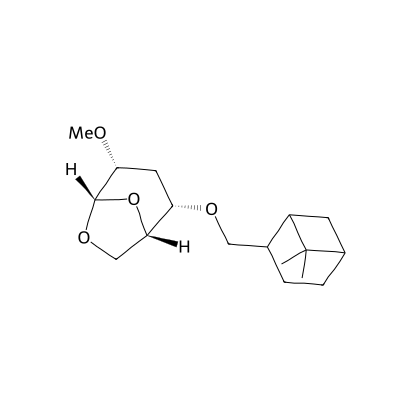 CO[C@@H]1C[C@H](OCC2CCC3CC2C3(C)C)[C@@H]2CO[C@H]1O2